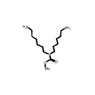 CC(C)(C)OC(=O)N(CCCCCCN)CCCCCCN